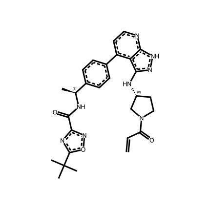 C=CC(=O)N1CC[C@@H](Nc2n[nH]c3nccc(-c4ccc([C@H](C)NC(=O)c5noc(C(C)(C)C)n5)cc4)c23)C1